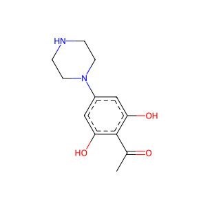 CC(=O)c1c(O)cc(N2CCNCC2)cc1O